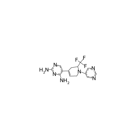 Nc1ncc(C2=CCN(c3cncnc3)C(C(F)(F)F)C2)c(N)n1